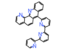 c1ccc(-c2cccc(-c3cccc(-c4c5ccccc5nc5c4ccc4cccnc45)n3)n2)nc1